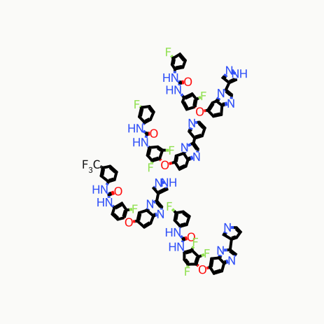 O=C(Nc1cccc(C(F)(F)F)c1)Nc1ccc(Oc2ccc3ncc(-c4cn[nH]c4)nc3c2)c(F)c1.O=C(Nc1cccc(F)c1)Nc1cc(F)c(Oc2ccc3ncc(-c4cccnc4)nc3c2)c(F)c1.O=C(Nc1cccc(F)c1)Nc1cc(F)c(Oc2ccc3ncc(-c4cccnc4)nc3c2)c(F)c1F.O=C(Nc1cccc(F)c1)Nc1ccc(Oc2ccc3ncc(-c4cn[nH]c4)nc3c2)c(F)c1